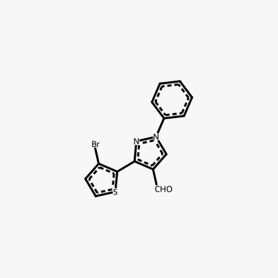 O=Cc1cn(-c2ccccc2)nc1-c1sccc1Br